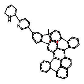 CC1(C)c2cc(-c3ccc(C4=CC=CCN4)nc3)ccc2-c2cc3c(-c4ccccc4-c4ccccc4)c4ccccc4c(-c4ccccc4-c4ccccc4)c3cc21